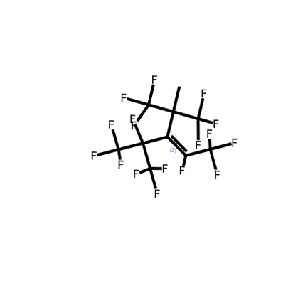 CC(/C(=C(/F)C(F)(F)F)C(F)(C(F)(F)F)C(F)(F)F)(C(F)(F)F)C(F)(F)F